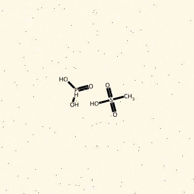 CS(=O)(=O)O.O=[PH](O)O